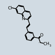 C[CH]C(=O)c1cccc(C=Cc2ccc3ccc(Cl)cc3n2)c1